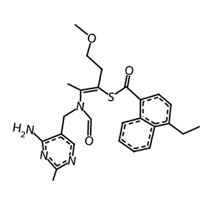 CCc1ccc(C(=O)S/C(CCOC)=C(/C)N(C=O)Cc2cnc(C)nc2N)c2ccccc12